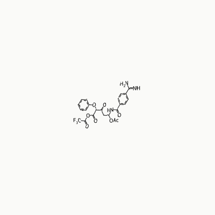 CC(=O)OC(CC(=O)C(Oc1ccccc1)C(=O)OC(=O)C(F)(F)F)NC(=O)c1ccc(C(=N)N)cc1